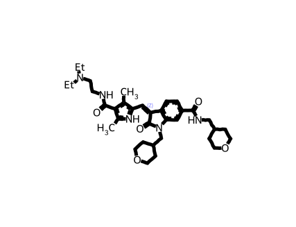 CCN(CC)CCNC(=O)c1c(C)[nH]c(/C=C2\C(=O)N(CC3CCOCC3)c3cc(C(=O)NCC4CCOCC4)ccc32)c1C